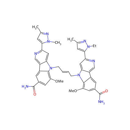 CCn1nc(C)cc1-c1cc2c(cn1)c1cc(C(N)=O)cc(OC)c1n2C/C=C/Cn1c2cc(-c3cc(C)nn3C)ncc2c2cc(C(N)=O)cc(OC)c21